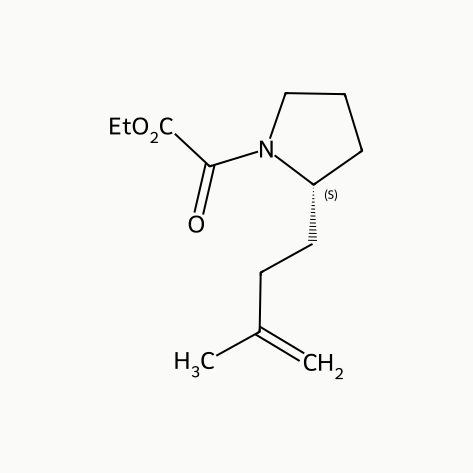 C=C(C)CC[C@H]1CCCN1C(=O)C(=O)OCC